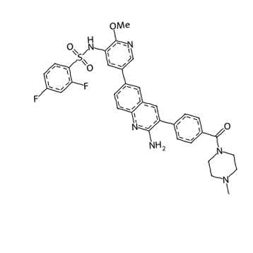 COc1ncc(-c2ccc3nc(N)c(-c4ccc(C(=O)N5CCN(C)CC5)cc4)cc3c2)cc1NS(=O)(=O)c1ccc(F)cc1F